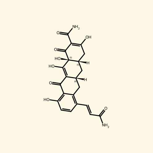 NC(=O)C=Cc1ccc(O)c2c1C[C@H]1C[C@H]3CC(O)=C(C(N)=O)C(=O)[C@@]3(O)C(O)=C1C2=O